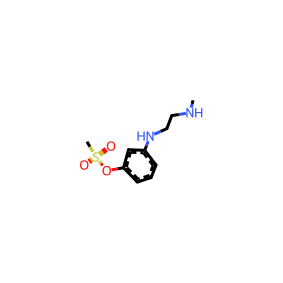 CNCCNc1cccc(OS(C)(=O)=O)c1